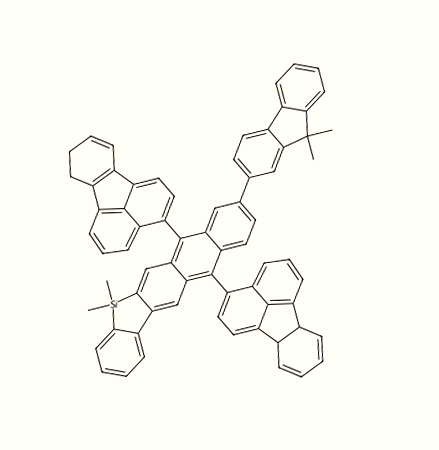 CC1(C)c2ccccc2-c2ccc(-c3ccc4c(-c5ccc6c7c(cccc57)C5C=CC=CC65)c5cc6c(cc5c(-c5ccc7c8c(cccc58)C5=C7C=CCC5)c4c3)[Si](C)(C)c3ccccc3-6)cc21